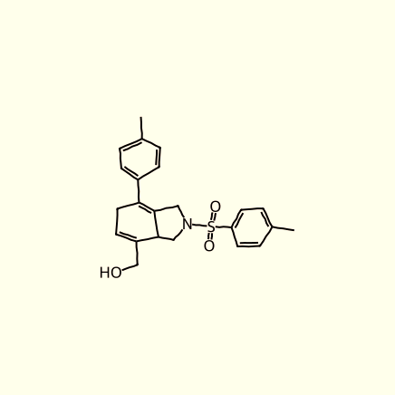 Cc1ccc(C2=C3CN(S(=O)(=O)c4ccc(C)cc4)CC3C(CO)=CC2)cc1